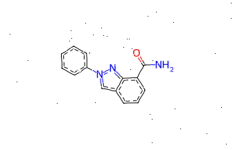 NC(=O)c1cccc2cn(-c3[c]cccc3)nc12